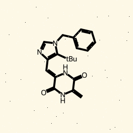 C=c1[nH]c(=O)c(=Cc2ncn(Cc3ccccc3)c2C(C)(C)C)[nH]c1=O